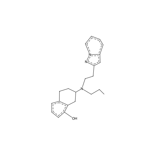 CCCN(CCc1cc2ccccn2n1)C1CCc2cccc(O)c2C1